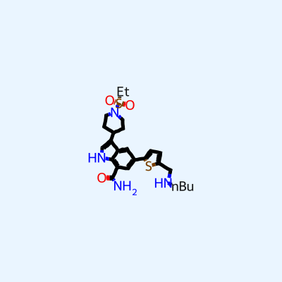 CCCCNCc1ccc(-c2cc(C(N)=O)c3[nH]cc(C4CCN(S(=O)(=O)CC)CC4)c3c2)s1